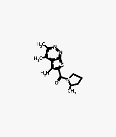 Cc1nnc2sc(C(=O)N3CCCC3C)c(N)c2c1C